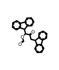 O=[C]OC(C(=O)CC1c2ccccc2-c2ccccc21)C1c2ccccc2-c2ccccc21